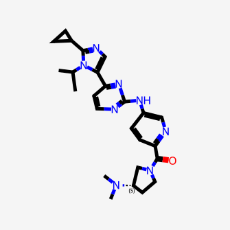 CC(C)n1c(-c2ccnc(Nc3ccc(C(=O)N4CC[C@H](N(C)C)C4)nc3)n2)cnc1C1CC1